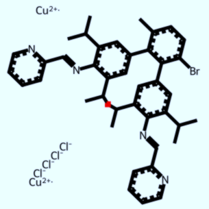 Cc1ccc(Br)c(-c2cc(C(C)C)c(/N=C/c3ccccn3)c(C(C)C)c2)c1-c1cc(C(C)C)c(/N=C/c2ccccn2)c(C(C)C)c1.[Cl-].[Cl-].[Cl-].[Cl-].[Cu+2].[Cu+2]